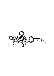 C=Cc1ccc(COC(=O)/C(=C/CC2(C)Oc3ccccc3N2CC)S(=O)(=O)c2ccccc2)cc1